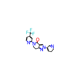 O=C1c2cn(C3=CCCN=C3)nc2CCN1c1cc(C(F)(F)F)ccn1